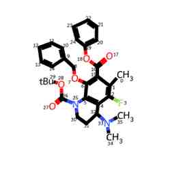 Cc1c(F)c2c(c(OCc3ccccc3)c1C(=O)Oc1ccccc1)N(C(=O)OC(C)(C)C)CCC2N(C)C